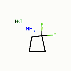 Cl.FC1(F)CCC1.N